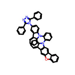 c1ccc(-c2nnc(-c3ccccc3)n2-c2ccc3c(c2)c2ccccc2n3-c2ccccc2-n2c3ccccc3c3cc4oc5ccccc5c4cc32)cc1